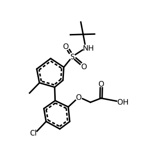 Cc1ccc(S(=O)(=O)NC(C)(C)C)cc1-c1cc(Cl)ccc1OCC(=O)O